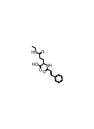 CCNC(=O)CCC(NC(=O)/C=C/c1ccccc1)C(=O)O